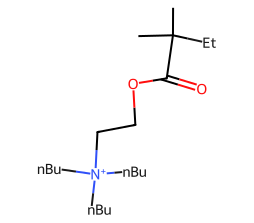 CCCC[N+](CCCC)(CCCC)CCOC(=O)C(C)(C)CC